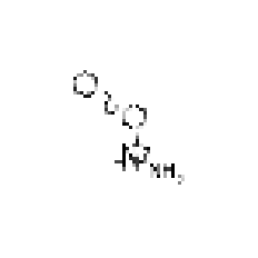 Nc1cc(-c2cccc(OCc3ccccc3)c2)n[nH]1